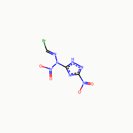 O=[N+]([O-])c1n[nH]c(N(N=CBr)[N+](=O)[O-])n1